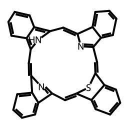 c1ccc2c(c1)-c1cc3[nH]c(cc4nc(cc5sc(cc-2n1)c1ccccc51)-c1ccccc1-4)c1ccccc31